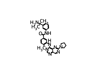 Cc1ccc(C(=O)Nc2cccc(C(C)(C)N)c2)cc1Nc1ncnc2cnc(N3CCCC3)nc12